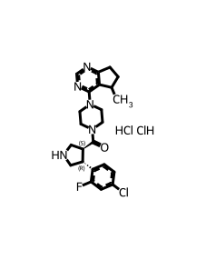 CC1CCc2ncnc(N3CCN(C(=O)[C@@H]4CNC[C@H]4c4ccc(Cl)cc4F)CC3)c21.Cl.Cl